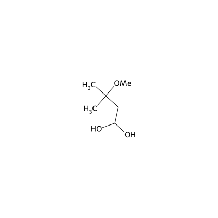 COC(C)(C)CC(O)O